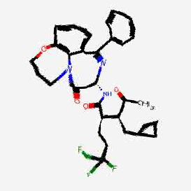 CC(=O)[C@@H](CC1CC1)[C@@H](CCC(F)(F)F)C(=O)N[C@H]1N=C(c2ccccc2)c2cccc3c2N(CCCO3)C1=O